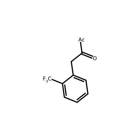 CC(=O)C(=O)Cc1ccccc1C(F)(F)F